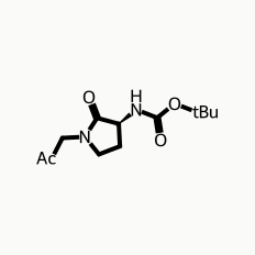 CC(=O)CN1CC[C@H](NC(=O)OC(C)(C)C)C1=O